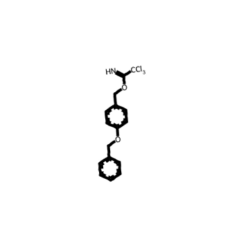 N=C(OCc1ccc(OCc2ccccc2)cc1)C(Cl)(Cl)Cl